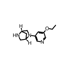 CCOc1cncc(N2C[C@@H]3C[C@H]2CN3)c1